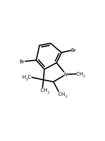 CC1N(C)c2c(Br)ccc(Br)c2C1(C)C